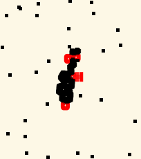 CC(C)OC(=O)CCCC1CCC2C3CCC4CC(=O)CCC4(C)C3CC[C@]12O